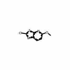 COc1ccc2nc(Cl)sc2n1